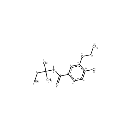 CC(C)(C)CC(C)(C#N)NC(=O)c1cc(OCC(F)(F)F)c(Cl)cn1